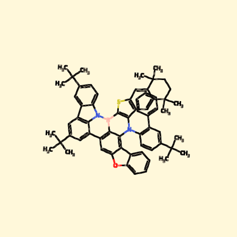 CC(C)(C)c1ccc(N2c3c(sc4cc5c(cc34)C(C)(C)CCC5(C)C)B3c4c(cc5oc6ccccc6c5c42)-c2cc(C(C)(C)C)cc4c5cc(C(C)(C)C)ccc5n3c24)c(-c2ccccc2)c1